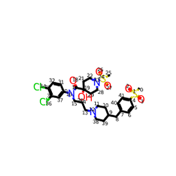 CS(=O)(=O)c1ccc(CC2CCN(CCCN(C(=O)C3(O)CCN(S(C)(=O)=O)CC3)c3ccc(Cl)c(Cl)c3)CC2)cc1